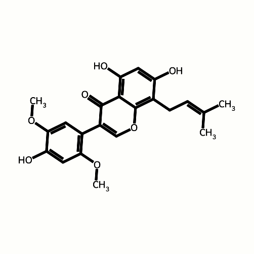 COc1cc(-c2coc3c(CC=C(C)C)c(O)cc(O)c3c2=O)c(OC)cc1O